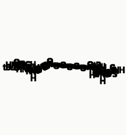 CC1=C(c2ccc(NC(=O)C3CCCN3C(=O)C(NC(=O)CCOCCOCCOCCOCCOCCC(=O)N3CCN(c4ccc(Nc5nc(Nc6cccc(S(=O)(=O)NC(C)(C)C)c6)c(C)[nH]5)cc4)CC3)C(C)(C)C)cc2)SCN1